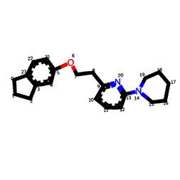 [C]1CCc2cc(OCCc3cccc(N4CCCCC4)n3)ccc21